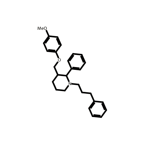 COc1ccc(OCC2CCCN(CCCc3ccccc3)C2c2ccccc2)cc1